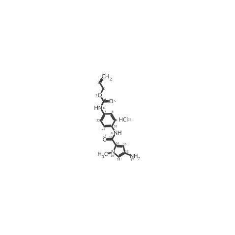 C=CCOC(=O)Nc1ccc(NC(=O)c2cc(N)cn2C)cc1.Cl